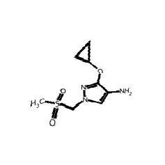 CS(=O)(=O)Cn1cc(N)c(OC2CC2)n1